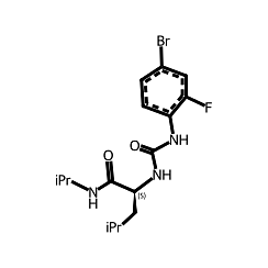 CC(C)C[C@H](NC(=O)Nc1ccc(Br)cc1F)C(=O)NC(C)C